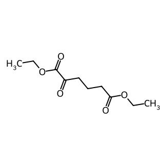 CCOC(=O)CCCC(=O)C(=O)OCC